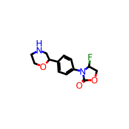 O=C1OCC(F)N1c1ccc(C2CNCCO2)cc1